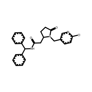 O=C(CC1CCC(=O)N1Cc1ccc(Cl)nc1)NC(c1ccccc1)c1ccccc1